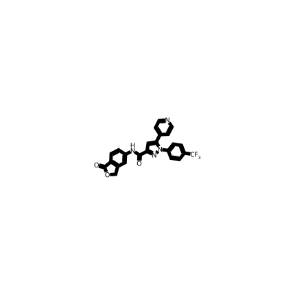 O=C(Nc1ccc2c(c1)COC2=O)c1cc(-c2ccncc2)n(-c2ccc(C(F)(F)F)cc2)n1